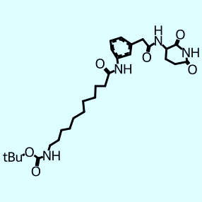 CC(C)(C)OC(=O)NCCCCCCCCCCC(=O)Nc1cccc(CC(=O)NC2CCC(=O)NC2=O)c1